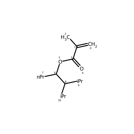 C=C(C)C(=O)OC(CCC)C(C(C)C)C(C)C